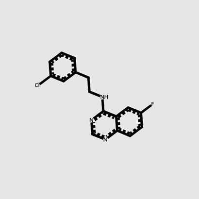 Fc1ccc2ncnc(NCCc3cccc(Cl)c3)c2c1